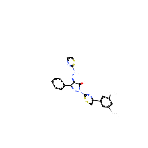 COc1cc(C)cc(-c2csc(N3N=C(c4ccccc4)/C(=N/Nc4nccs4)C3=O)n2)c1